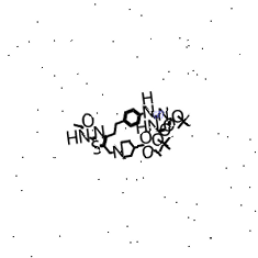 CCOC(=O)C1CCN(Cc2sc(NC(C)=O)nc2CCc2ccc(N/C(=N/C(=O)OC(C)(C)C)NC(=O)OC(C)(C)C)cc2)CC1